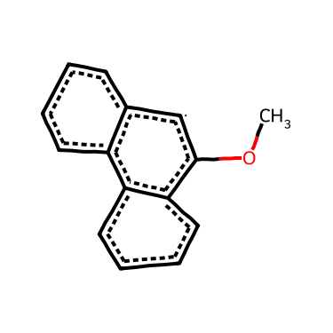 COc1[c]c2ccccc2c2ccccc12